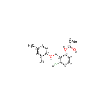 CCc1cc(C)ccc1OCc1c(F)cccc1OC(=O)OC